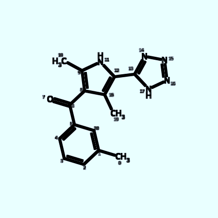 Cc1cccc(C(=O)c2c(C)[nH]c(-c3nnn[nH]3)c2C)c1